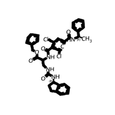 C[C@@H](NC(=O)c1cc(Cl)c(C(=O)NC(CNC(=O)N[C@@H]2CCc3ccccc32)C(=O)OCc2ccccc2)c(Cl)c1)c1ccccc1